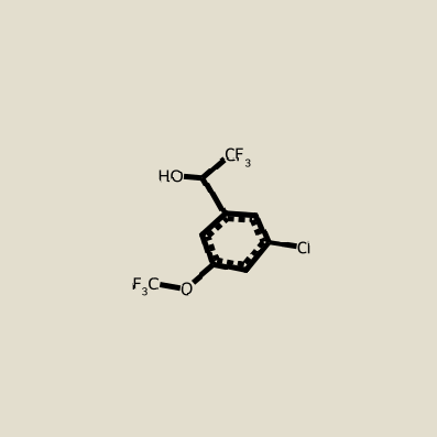 OC(c1cc(Cl)cc(OC(F)(F)F)c1)C(F)(F)F